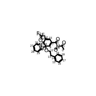 CC(=O)N([O-])C(=O)C1=CC(Cl)(OCCc2ccccc2)C(OC(F)F)([n+]2ccccc2)C(Cl)=C1